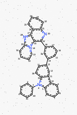 c1ccc(-n2c3ccccc3c3cc(-c4cccc(-c5nc6ccccc6c6nc7ccccn7c56)c4)ccc32)cc1